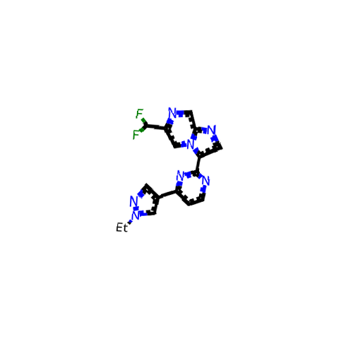 CCn1cc(-c2ccnc(-c3cnc4cnc(C(F)F)cn34)n2)cn1